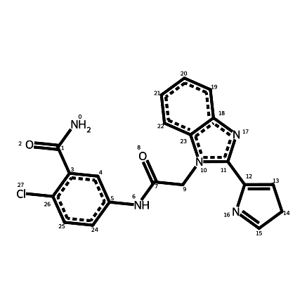 NC(=O)c1cc(NC(=O)Cn2c(C3=CCC=N3)nc3ccccc32)ccc1Cl